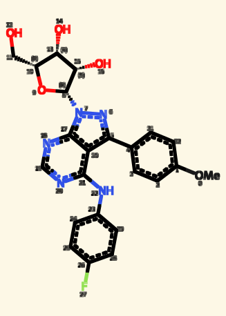 COc1ccc(-c2nn([C@@H]3O[C@H](CO)[C@H](O)[C@@H]3O)c3ncnc(Nc4ccc(F)cc4)c23)cc1